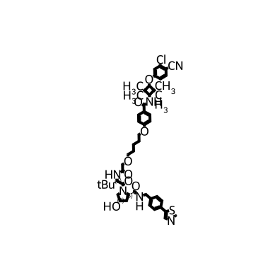 CC1(C)C(NC(=O)c2ccc(OCCCCCOCC(=O)N[C@H](C(=O)N3C[C@H](O)C[C@H]3C(=O)NCc3ccc(-c4cncs4)cc3)C(C)(C)C)cc2)C(C)(C)C1Oc1ccc(C#N)c(Cl)c1